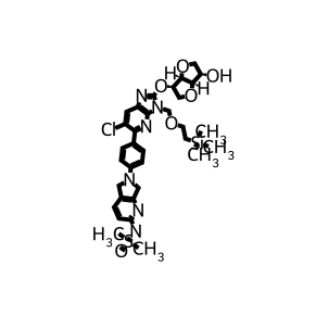 C[Si](C)(C)CCOCn1c(O[C@@H]2CO[C@H]3[C@@H]2OC[C@H]3O)nc2cc(Cl)c(-c3ccc(N4Cc5ccc(N=S(C)(C)=O)nc5C4)cc3)nc21